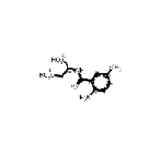 Cc1ccc(N)c(C(=O)N[C@@H](CC(=O)O)C(=O)O)c1